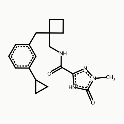 Cn1nc(C(=O)NCC2(Cc3cccc(C4CC4)c3)CCC2)[nH]c1=O